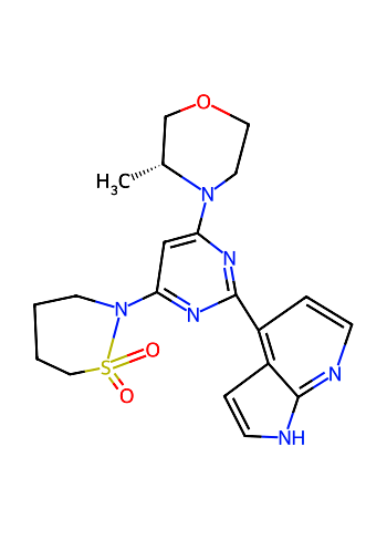 C[C@@H]1COCCN1c1cc(N2CCCCS2(=O)=O)nc(-c2ccnc3[nH]ccc23)n1